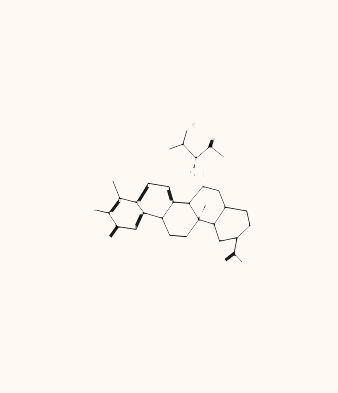 CC(O)[C@H](N)C(=O)O.CC1=C(O)C(=O)C=C2C1=CC=C1[C@@]2(C)CC[C@@]2(C)[C@@H]3C[C@](C)(C(=O)O)CC[C@]3(C)CC[C@]12C